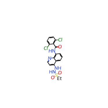 CCS(=O)(=O)NNc1ccnc2c(NC(=O)c3c(Cl)cccc3Cl)cccc12